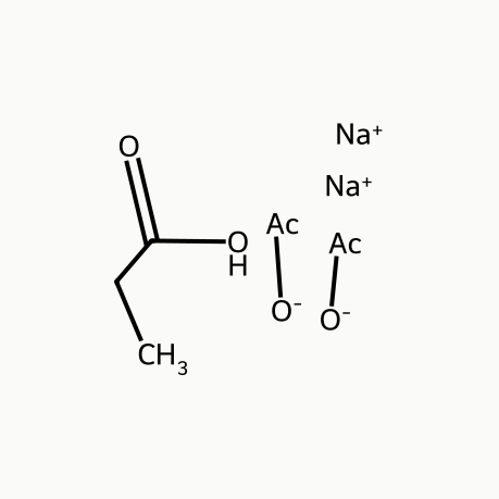 CC(=O)[O-].CC(=O)[O-].CCC(=O)O.[Na+].[Na+]